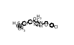 Cc1c(NCC2CC[C@H](c3ccc(Cl)cc3)O2)ncnc1C(=O)N1CCC(N2CCC(N(C)S(C)(=O)=O)CC2)CC1